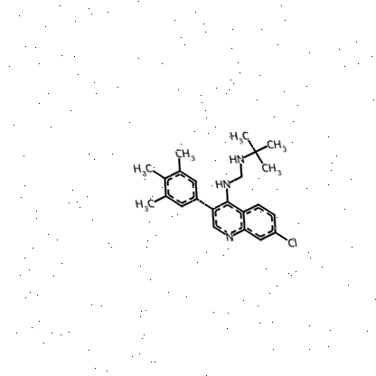 Cc1cc(-c2cnc3cc(Cl)ccc3c2NCNC(C)(C)C)cc(C)c1C